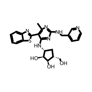 Cc1nc(NCc2cccnc2)nc(N[C@@H]2C[C@H](CO)[C@@H](O)[C@H]2O)c1-c1nc2ccccc2s1